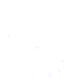 C/C(=C\CSCC(Nc1ccnc(C)n1)C(=O)O)CCCC(C)CCCC(C)CCCC(C)C